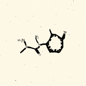 Cc1c(Br)cccc1N(N)C(=O)N(C)N